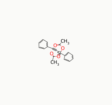 CC(=O)O[Si](C#Cc1ccccc1)(OC(C)=O)c1ccccc1